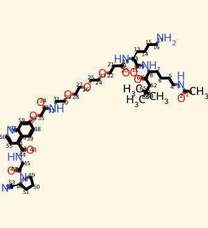 CC(=O)NCCCCC(NC(=O)[C@H](CCCCN)NC(=O)CCOCCOCCOCCNC(=O)COc1ccc2c(C(=O)NCC(=O)N3CCC[C@H]3C#N)ccnc2c1)C(=O)CC(C)(C)C